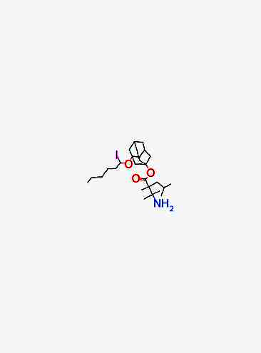 CCCCCC(I)OC12CC3CC(CC(OC(=O)C(C)(CC(C)C)C(C)(C)N)(C3)C1)C2